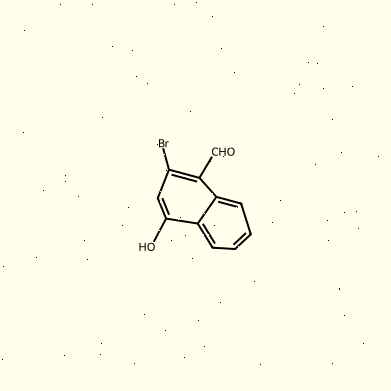 O=Cc1c(Br)cc(O)c2ccccc12